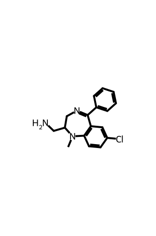 CN1c2ccc(Cl)cc2C(c2ccccc2)=NCC1CN